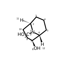 O=C(O)N1[C@@H]2CCC[C@@H]1[C@@H](O)CC2